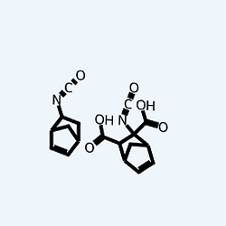 O=C=NC1(C(=O)O)C2C=CC(C2)C1C(=O)O.O=C=NC1CC2C=CC1C2